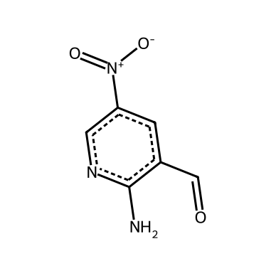 Nc1ncc([N+](=O)[O-])cc1C=O